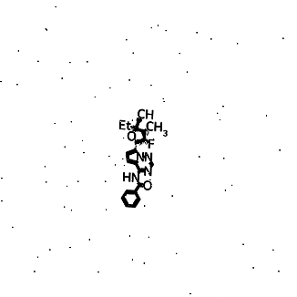 C#C[C@]1(CC)O[C@@H](c2ccc3c(NC(=O)c4ccccc4)ncnn23)[C@H](F)[C@@H]1C